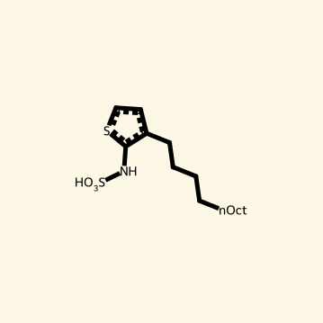 CCCCCCCCCCCCc1ccsc1NS(=O)(=O)O